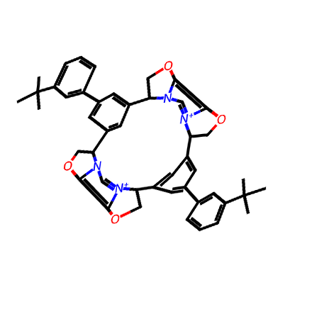 CC(C)(C)c1cccc(-c2cc3cc(c2)C2COc4c5[n+](cn42)C(CO5)c2cc(-c4cccc(C(C)(C)C)c4)cc(c2)C2COc4c5n(c[n+]42)C3CO5)c1